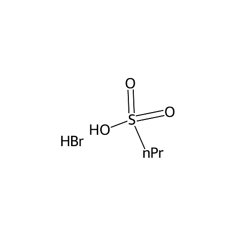 Br.CCCS(=O)(=O)O